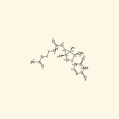 CC(C)C(=O)SCCO[P@H](=O)OC1[C@H]2O[C@@H](n3ccc(=O)[nH]c3=O)[C@H](O)[C@@]12C